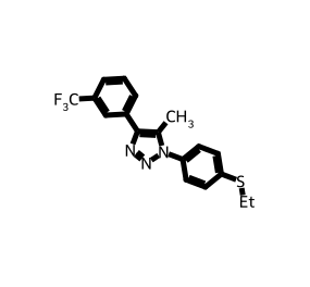 CCSc1ccc(-n2nnc(-c3cccc(C(F)(F)F)c3)c2C)cc1